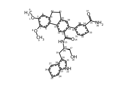 COc1cc2c(cc1OC)-c1cc(C(=O)N[C@@H](CO)Cc3c[nH]c4ccccc34)c(-c3cccc(C(N)=O)c3)cc1CC2